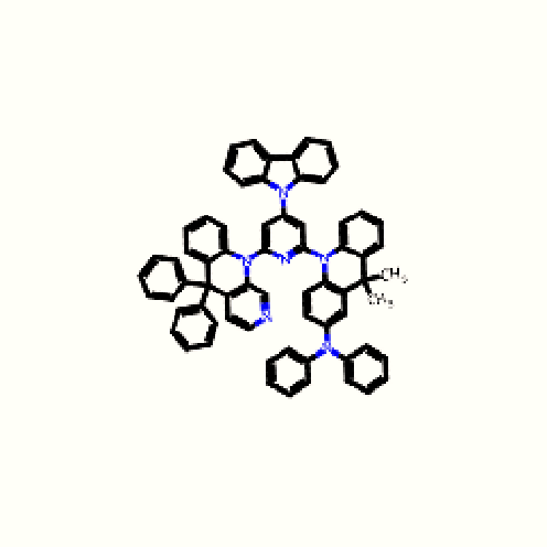 CC1(C)c2ccccc2N(c2cc(-n3c4ccccc4c4ccccc43)cc(N3c4ccccc4C(c4ccccc4)(c4ccccc4)c4ccncc43)n2)c2ccc(N(c3ccccc3)c3ccccc3)cc21